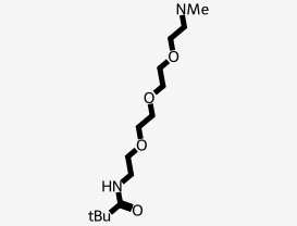 CNCCOCCOCCOCCNC(=O)C(C)(C)C